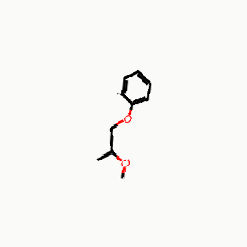 COC(C)COc1[c]cccc1